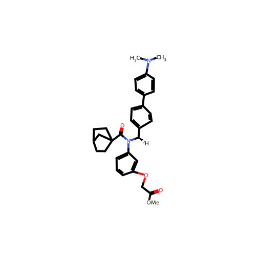 [2H][C@H](c1ccc(-c2ccc(N(C)C)cc2)cc1)N(C(=O)C12CCC(CC1)C2)c1cccc(OCC(=O)OC)c1